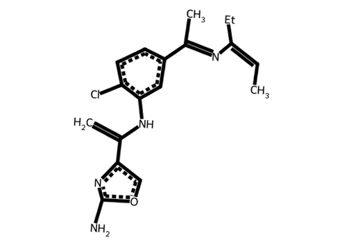 C=C(Nc1cc(/C(C)=N/C(=C\C)CC)ccc1Cl)c1coc(N)n1